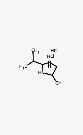 CC1CNC(C(C)C)N1.Cl.Cl